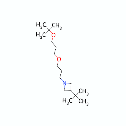 CC(C)(C)OCCCOCCCN1CC(C(C)(C)C)C1